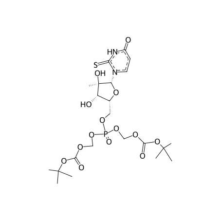 CC(C)(C)OC(=O)OCOP(=O)(OCOC(=O)OC(C)(C)C)OC[C@H]1O[C@@H](n2ccc(=O)[nH]c2=S)[C@](C)(O)[C@H]1O